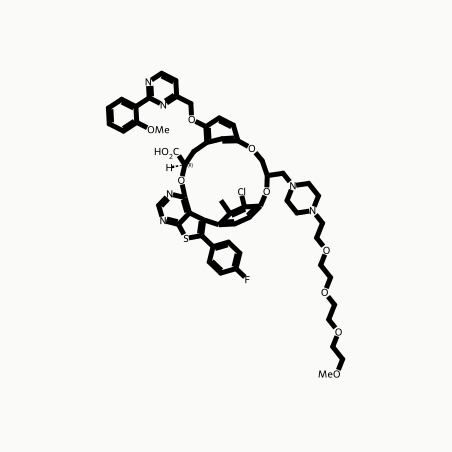 COCCOCCOCCOCCN1CCN(CC2COc3ccc(OCc4ccnc(-c5ccccc5OC)n4)c(c3)C[C@H](C(=O)O)Oc3ncnc4sc(-c5ccc(F)cc5)c(c34)-c3ccc(c(Cl)c3C)O2)CC1